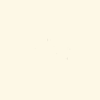 Cc1cc(CCC(=O)O)c(C)cc1Br